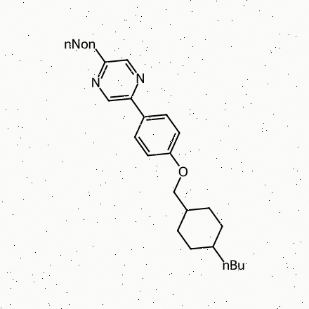 CCCCCCCCCc1cnc(-c2ccc(OCC3CCC(CCCC)CC3)cc2)cn1